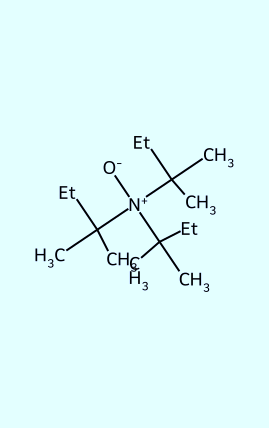 CCC(C)(C)[N+]([O-])(C(C)(C)CC)C(C)(C)CC